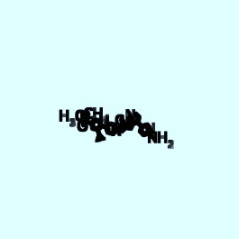 CN(C)C(=O)c1ccc(C2=CCN(Cc3cc4c(-c5ccc(N)nc5)ccnc4n3C)CC2)c(C2CC2)c1